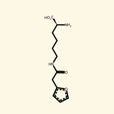 N[C@@H](CCCCNC(=O)Cc1ccco1)C(=O)O